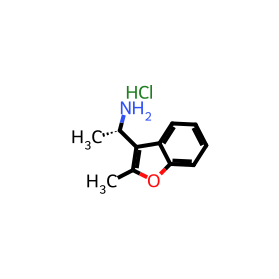 Cc1oc2ccccc2c1[C@H](C)N.Cl